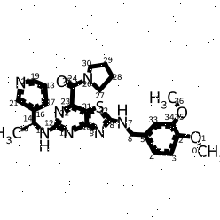 COc1ccc(CNc2nc3nc(N[C@@H](C)c4cccnc4)nc(C(=O)N4CCCC4)c3s2)cc1OC